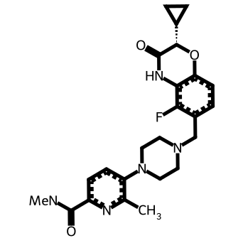 CNC(=O)c1ccc(N2CCN(Cc3ccc4c(c3F)NC(=O)[C@H](C3CC3)O4)CC2)c(C)n1